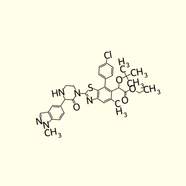 CCOC(=O)C(OC(C)(C)C)c1c(C)cc2nc(N3CCNC(c4ccc5c(cnn5C)c4)C3=O)sc2c1-c1ccc(Cl)cc1